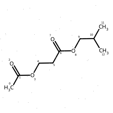 CC(=O)OCCC(=O)OCC(C)C